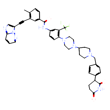 Cc1ccc(C(=O)Nc2ccc(N3CCN(C4CCN(Cc5ccc(C6CCC(=O)NC6=O)cc5)CC4)CC3)c(C(F)(F)F)c2)cc1C#Cc1cnc2cccnn12